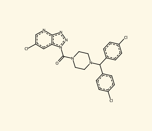 O=C(N1CCN(C(c2ccc(Cl)cc2)c2ccc(Cl)cc2)CC1)n1nnc2ncc(Cl)cc21